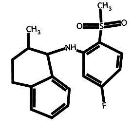 CC1CCc2ccccc2C1Nc1cc(F)ccc1S(C)(=O)=O